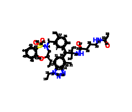 CC[C@@H]1CN(Cc2cc(C(c3ccc4c(nnn4CC)c3C)C(C)(C)NC(=O)CCCNC(C)=O)ccc2C)S(=O)(=O)c2ccccc2O1